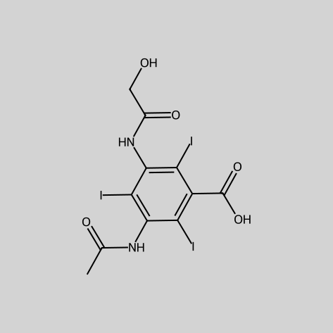 CC(=O)Nc1c(I)c(NC(=O)CO)c(I)c(C(=O)O)c1I